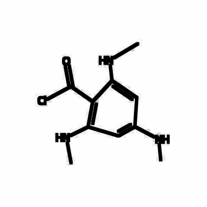 CNc1cc(NC)c(C(=O)Cl)c(NC)c1